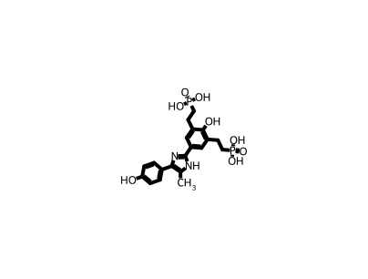 Cc1[nH]c(-c2cc(CCP(=O)(O)O)c(O)c(CCP(=O)(O)O)c2)nc1-c1ccc(O)cc1